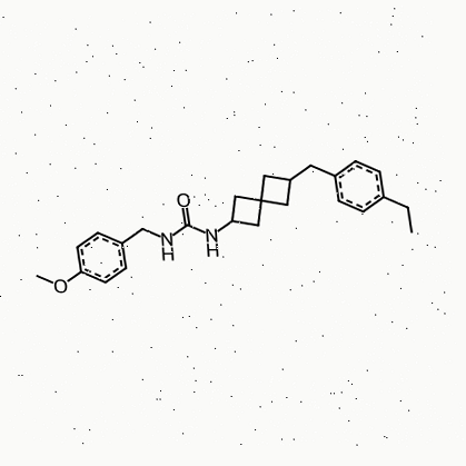 CCc1ccc(CC2CC3(C2)CC(NC(=O)NCc2ccc(OC)cc2)C3)cc1